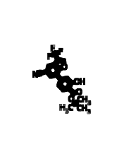 CC(C)(C)OC(=O)c1ccc(-c2cc(C#N)cc3c(C(F)(F)F)coc23)cc1O